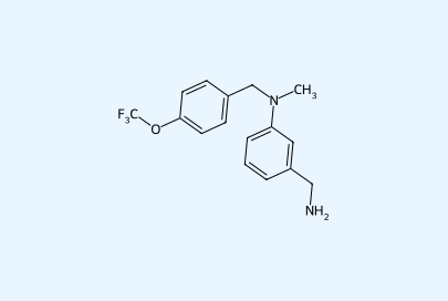 CN(Cc1ccc(OC(F)(F)F)cc1)c1cccc(CN)c1